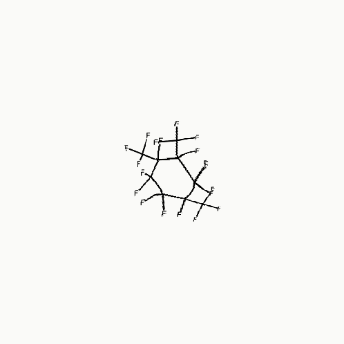 FC(F)(F)C1(F)C(F)(F)C(F)(F)C(F)(C(F)(F)F)C(F)(C(F)(F)F)C1(F)F